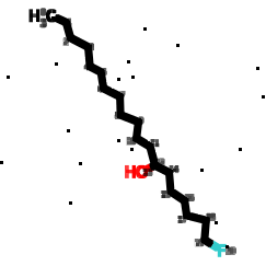 CCCCCCCCCCCCC(O)CCCCCCF